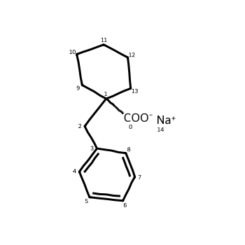 O=C([O-])C1(Cc2ccccc2)CCCCC1.[Na+]